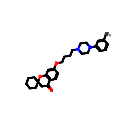 O=C1CC2(CCCCC2)Oc2cc(OCCCCN3CCN(c4cccc(C(F)(F)F)c4)CC3)ccc21